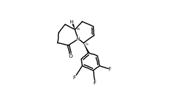 O=C1CCC[C@@H]2CC=C[C@@H](c3cc(F)c(F)c(F)c3)N12